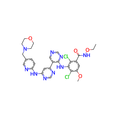 CCONC(=O)c1cc(OC)c(Cl)c(Nc2ncncc2-c2cc(Nc3ccc(CN4CCOCC4)cn3)ncn2)c1Cl